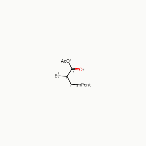 CCCCCCC(CC)C(=O)OC(C)=O